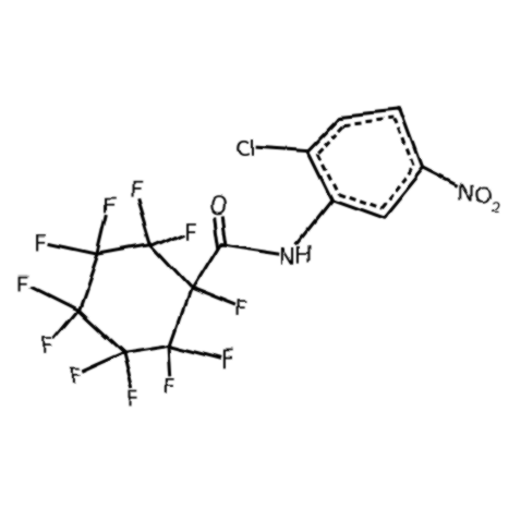 O=C(Nc1cc([N+](=O)[O-])ccc1Cl)C1(F)C(F)(F)C(F)(F)C(F)(F)C(F)(F)C1(F)F